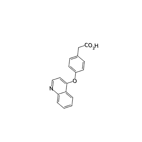 O=C(O)Cc1ccc(Oc2ccnc3ccccc23)cc1